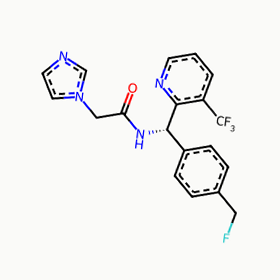 O=C(Cn1ccnc1)N[C@@H](c1ccc(CF)cc1)c1ncccc1C(F)(F)F